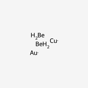 [Au].[BeH2].[BeH2].[Cu]